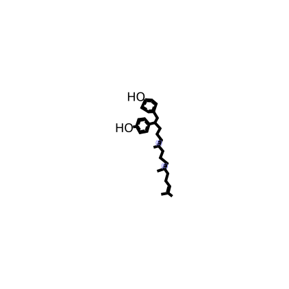 CC(C)=CCC/C(C)=C/CC/C(C)=C/CCC(Cc1ccc(O)cc1)c1ccc(O)cc1